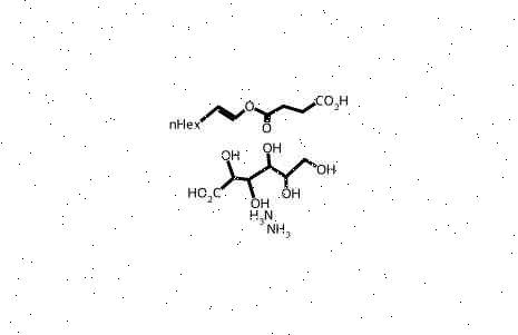 CCCCCCC=COC(=O)CCC(=O)O.N.N.O=C(O)C(O)C(O)C(O)C(O)CO